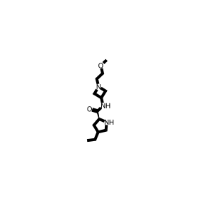 CCC1CN[C@H](C(=O)NC2CN(CCOC)C2)C1